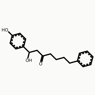 O=C(CCCCc1ccccc1)CC(O)c1ccc(O)cc1